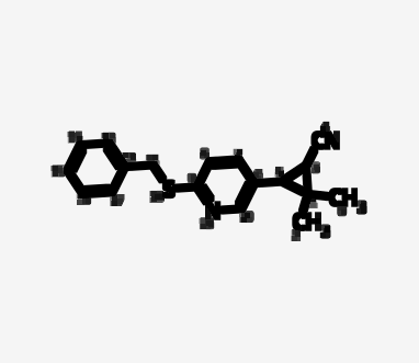 CC1(C)C(C#N)C1c1ccc(SCc2ccccc2)nc1